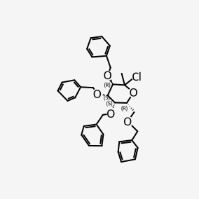 CC1(Cl)O[C@H](COCc2ccccc2)[C@H](OCc2ccccc2)[C@H](OCc2ccccc2)[C@H]1OCc1ccccc1